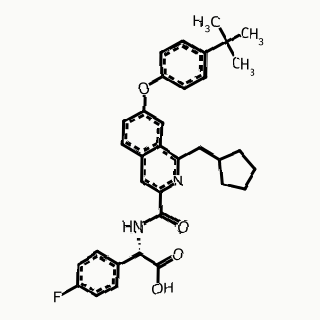 CC(C)(C)c1ccc(Oc2ccc3cc(C(=O)N[C@H](C(=O)O)c4ccc(F)cc4)nc(CC4CCCC4)c3c2)cc1